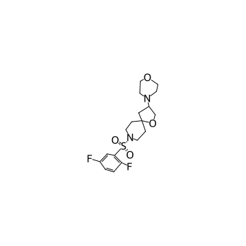 O=S(=O)(c1cc(F)ccc1F)N1CCC2(CC1)CC(N1CCOCC1)CO2